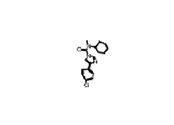 CN(C(=O)n1cnc(-c2ccc(Cl)cc2)c1)C1CCCCC1